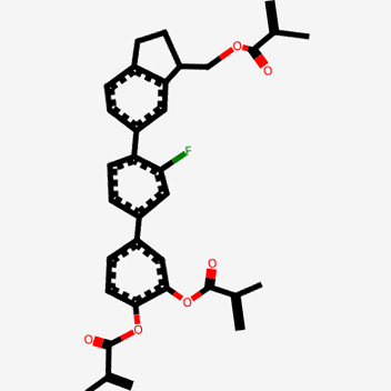 C=C(C)C(=O)OCC1CCc2ccc(-c3ccc(-c4ccc(OC(=O)C(=C)C)c(OC(=O)C(=C)C)c4)cc3F)cc21